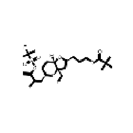 C=C(OS(=O)(=O)C(F)(F)F)C(C)C[C@H]1CC[C@@H]2O[C@@H](CCCOC(=O)C(C)(C)C)C[C@]2(CI)O1